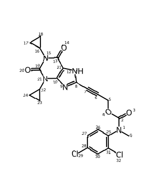 CN(C(=O)OCC#Cc1nc2c([nH]1)c(=O)n(C1CC1)c(=O)n2C1CC1)c1ccc(Cl)cc1Cl